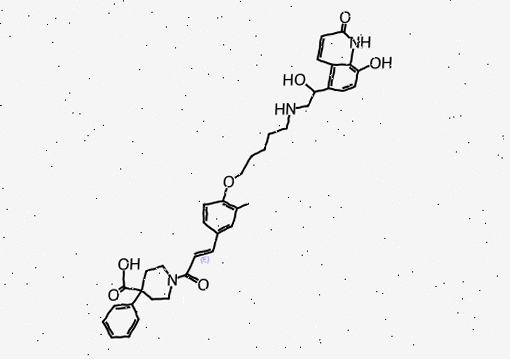 Cc1cc(/C=C/C(=O)N2CCC(C(=O)O)(c3ccccc3)CC2)ccc1OCCCCCNCC(O)c1ccc(O)c2[nH]c(=O)ccc12